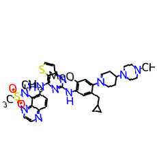 COc1cc(N2CCC(N3CCN(C)CC3)CC2)c(CC2CC2)cc1Nc1nc(Nc2ccc3nccnc3c2N(C)S(C)(=O)=O)c2sccc2n1